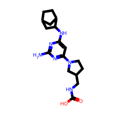 Nc1nc(NC2CC3CCC2C3)cc(N2CCC(CNC(=O)O)C2)n1